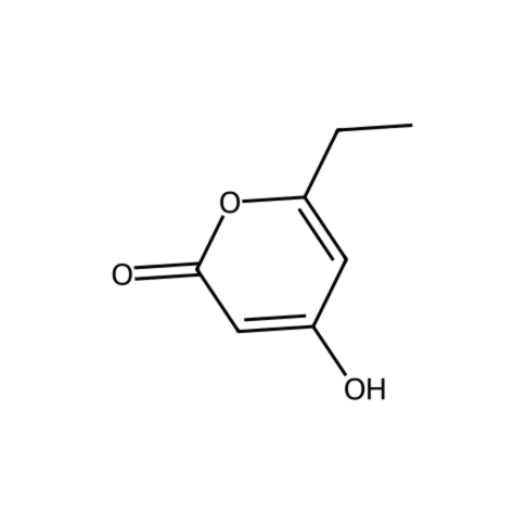 CCc1cc(O)cc(=O)o1